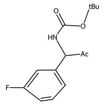 CC(=O)C(NC(=O)OC(C)(C)C)c1cccc(F)c1